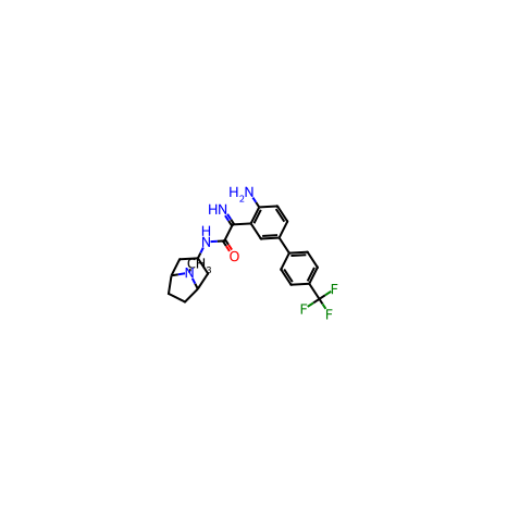 CN1C2CCC1CC(NC(=O)C(=N)c1cc(-c3ccc(C(F)(F)F)cc3)ccc1N)C2